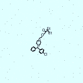 CCN(CC)C(=O)COCCN1CCN(C(c2ccccc2)c2ccc(Cl)cc2)CC1